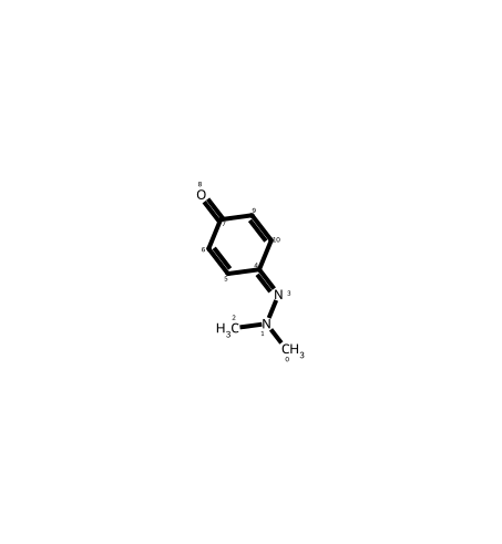 CN(C)N=C1C=CC(=O)C=C1